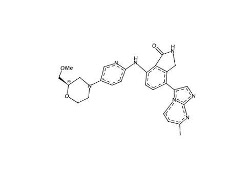 COC[C@H]1CN(c2ccc(Nc3ccc(-c4cnc5nc(C)ccn45)c4c3C(=O)NC4)nc2)CCO1